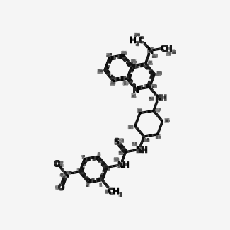 Cc1cc([N+](=O)[O-])ccc1NC(=S)NC1CCC(Nc2cc(N(C)C)c3ccccc3n2)CC1